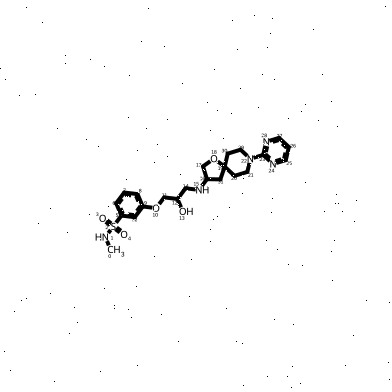 CNS(=O)(=O)c1cccc(OCC(O)CNC2COC3(CCN(c4ncccn4)CC3)C2)c1